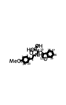 COc1ccc(CC(=O)N[C@@H](C[C@@H]2COc3ccccc32)B(O)O)cc1